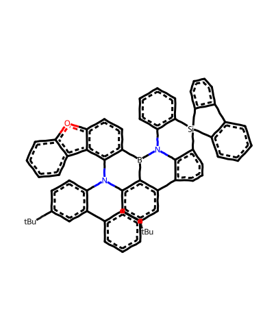 CC(C)(C)c1ccc(N2c3cc(C(C)(C)C)cc4c3B(c3ccc5oc6ccccc6c5c32)N2c3ccccc3[Si]3(c5ccccc5-c5ccccc53)c3cccc-4c32)c(-c2ccccc2)c1